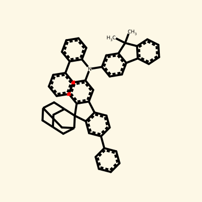 CC1(C)c2ccccc2-c2ccc(N(c3ccc4c(c3)-c3ccc(-c5ccccc5)cc3C43C4CC5CC(C4)CC3C5)c3ccccc3-c3ccccc3)cc21